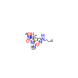 C[C@H]1CCCN1C(=O)c1nc(C(=O)NCC2(O)CC2)sc1-c1cnc(NCCCC2CC2)cc1C(F)(F)F